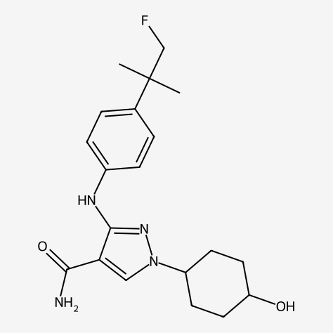 CC(C)(CF)c1ccc(Nc2nn(C3CCC(O)CC3)cc2C(N)=O)cc1